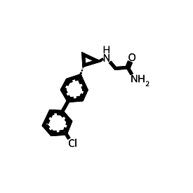 NC(=O)CN[C@@H]1C[C@H]1c1ccc(-c2cccc(Cl)c2)cc1